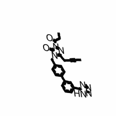 CC#CCc1nn(C(=O)CC)c(=O)n1Cc1ccc(-c2cccc(-c3nnn[nH]3)c2)cc1